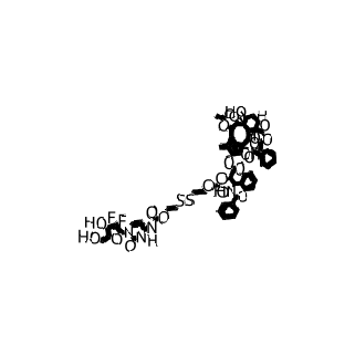 CC(=O)O[C@H]1C(=O)[C@@]2(C)[C@H]([C@H](OC(=O)c3ccccc3)[C@]3(O)C[C@H](OC(=O)[C@H](OC(=O)OCCSSCCOC(=O)Nc4ccn(C5OC(CO)C(O)C5(F)F)c(=O)n4)[C@@H](NC(=O)c4ccccc4)c4ccccc4)C(C)=C1C3(C)C)[C@]1(OC(C)=O)CO[C@@H]1C[C@@H]2O